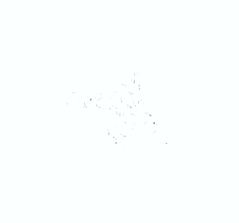 Cc1ccn(C)c(=O)c1-c1cc(NCc2ccn(C)c(=O)c2-c2cc(N)c3cnc(NC(=O)[C@@H]4C[C@@H]4F)cc3c2)c2cnc(NC(=O)[C@@H]3C[C@H]3F)cc2c1